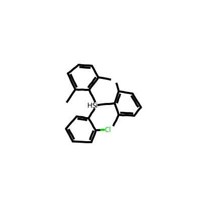 Cc1cccc(C)c1[SiH](c1ccccc1Cl)c1c(C)cccc1C